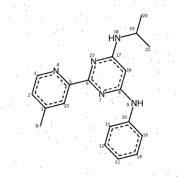 Cc1ccnc(-c2nc(Nc3ccccc3)cc(NC(C)C)n2)c1